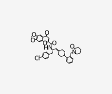 O=C(N[C@@H](C=C1CCC(c2ccccc2CN2CCCCC2=O)CC1)Cc1ccc(Cl)cc1)c1cc(=O)c2cc3c(cc2o1)OCO3